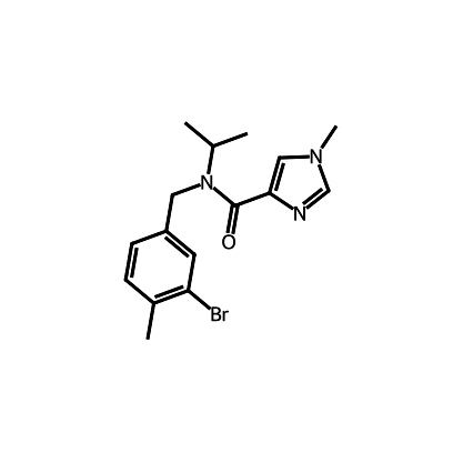 Cc1ccc(CN(C(=O)c2cn(C)cn2)C(C)C)cc1Br